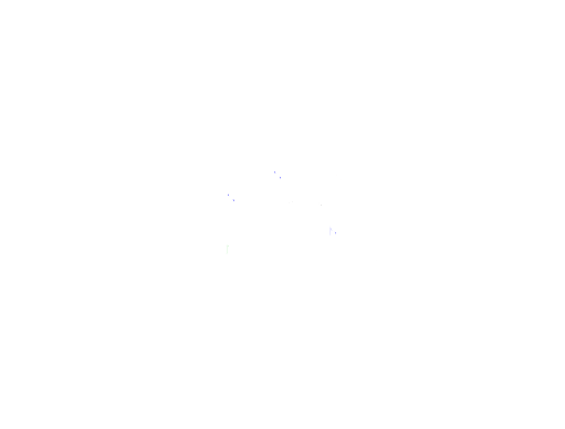 N=C1C(=O)N(Cc2ccccc2)CC/C1=C(\Cl)NCc1ccccc1